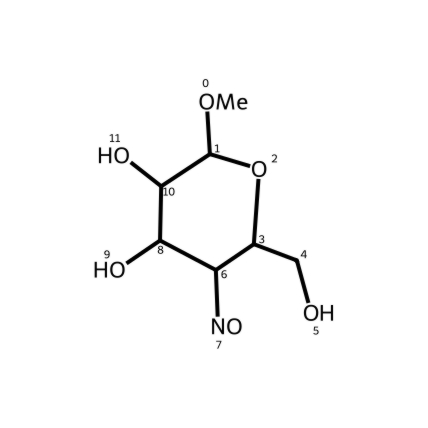 COC1OC(CO)C(N=O)C(O)C1O